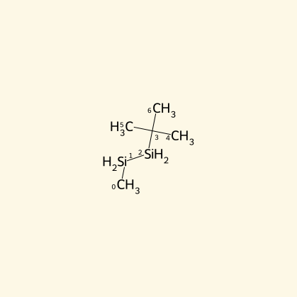 C[SiH2][SiH2]C(C)(C)C